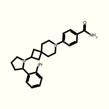 CC(C)c1ccccc1C1CCCN1C1CC2(CCN(c3ccc(C(N)=O)cc3)CC2)C1